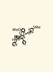 COc1ccccc1Oc1c(NS(=O)(=O)NCc2ccccn2)nc(-c2ccncc2)nc1OCCOc1ncc(SC)cn1